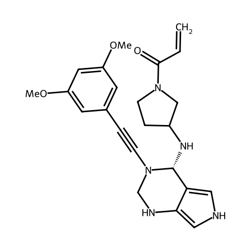 C=CC(=O)N1CCC(N[C@@H]2c3c[nH]cc3NCN2C#Cc2cc(OC)cc(OC)c2)C1